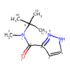 CN(C(=O)c1cc[nH]n1)C(C)(C)C